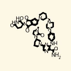 CN1CCN([C@@H]2CCCN(c3cnc(C(N)=O)c(Nc4ccc(N5CCN(C[C@H]6CCCN(c7ccc8c(c7)C(=O)N(C7CCC(=O)NC7O)C8=O)C6)CC5)cc4)n3)C2)C1=O